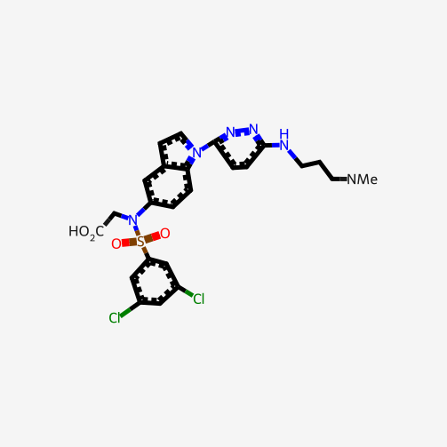 CNCCCNc1ccc(-n2ccc3cc(N(CC(=O)O)S(=O)(=O)c4cc(Cl)cc(Cl)c4)ccc32)nn1